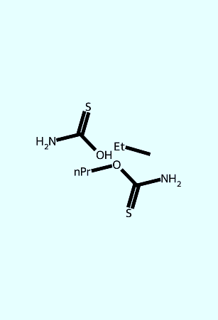 CCC.CCCOC(N)=S.NC(O)=S